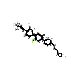 C/C=C/CCc1ccc(-c2ccc(-c3cc(F)c(C#CC(F)(F)F)c(F)c3)c(F)c2)cc1